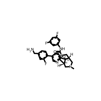 CN1C[C@@H]2CN(C(=O)Nc3cc(F)cc(F)c3)C[C@H](C1)[C@@]2(O)c1ccc(-c2ccc(CN)cc2F)cn1